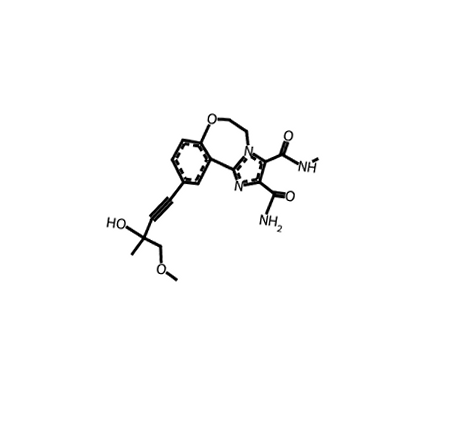 CNC(=O)c1c(C(N)=O)nc2n1CCOc1ccc(C#CC(C)(O)COC)cc1-2